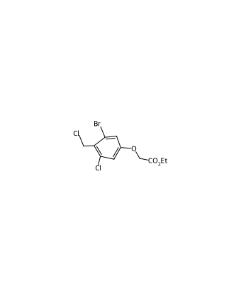 CCOC(=O)COc1cc(Cl)c(CCl)c(Br)c1